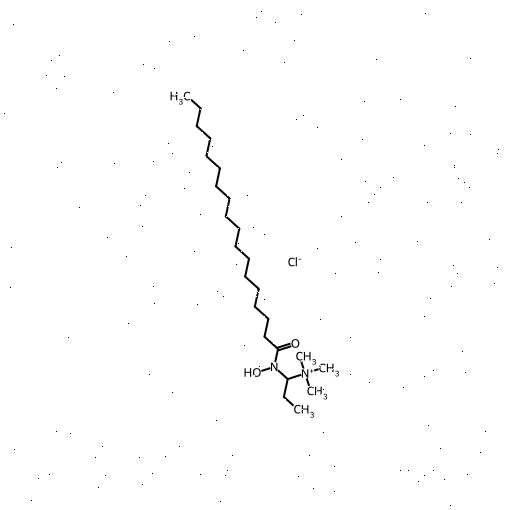 CCCCCCCCCCCCCCCCCC(=O)N(O)C(CC)[N+](C)(C)C.[Cl-]